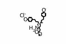 COC(=O)CC(N)C[N+](C)(CCCc1ccc(OC)cc1)CCCc1ccc(OC)cc1.[Cl-]